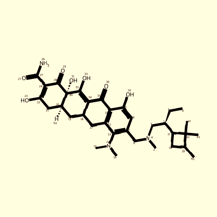 CC[C@H](CN(C)Cc1cc(O)c2c(c1N(C)C)CC1C[C@H]3CC(O)=C(C(N)=O)C(=O)[C@@]3(O)C(O)=C1C2=O)C1CC(C)C1(C)C